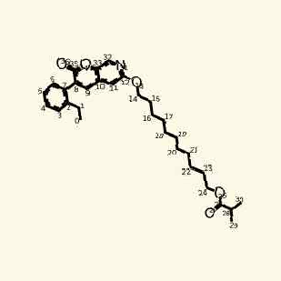 CCc1ccccc1-c1cc2cc(OCCCCCCCCCCCOC(=O)C(C)C)ncc2oc1=O